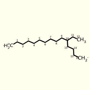 [CH2]CCCCCCCCCC(CC)CCC[CH2]